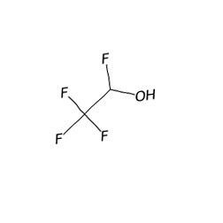 OC(F)C(F)(F)F